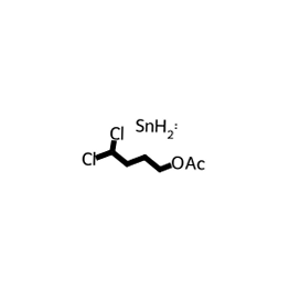 CC(=O)OCCCC(Cl)Cl.[SnH2]